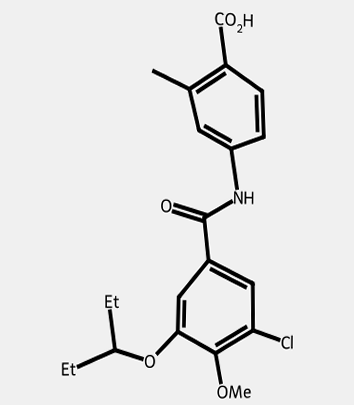 CCC(CC)Oc1cc(C(=O)Nc2ccc(C(=O)O)c(C)c2)cc(Cl)c1OC